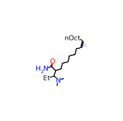 CCCCCCCC/C=C\CCCCCCC(C(N)=O)C(CC)N(C)C